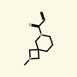 C=CC(=O)N1CCCC2(CN(C)C2)C1